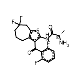 C[C@H](N)C(=O)Nc1sc2c(c1C(=O)c1c(F)cccc1F)CCCC(F)(F)C2